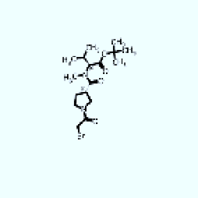 CC(C)[C@@H](C(=O)OC(C)(C)C)N(C)C(=O)[C@H]1CCN(C(=O)CBr)C1